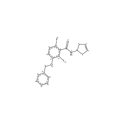 O=C(NC1CC=CC1)c1c(F)ccc(OCc2ccccc2)c1I